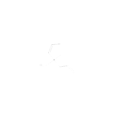 C=CCC(C)(/C=C\C)C(=O)O